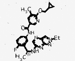 CCn1cc2ncc(N[C@@H](C)c3cc(NC(=O)c4cnc(OCC5CC5)c(C)c4)ccc3F)nc2n1